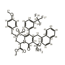 COC(=O)C1CN(Cc2ccc(OC)cc2)S(=O)(=O)c2c(-c3cccc(C(F)(F)F)c3)c(Cc3cccc4ccccc34)c(C(N)=O)c(=O)n21